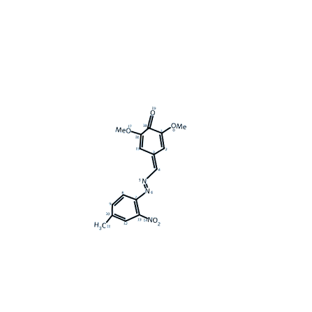 COC1=CC(=CN=Nc2ccc(C)cc2[N+](=O)[O-])C=C(OC)C1=O